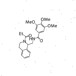 CCC(=O)N1CCc2ccccc2C1CNC(=O)c1cc(OC)c(OC)c(OC)c1